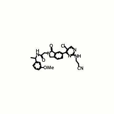 COc1cccc(C(C)NC(=O)CN2Cc3ccc(-c4nc(NCCC#N)ncc4Cl)cc3C2=O)c1